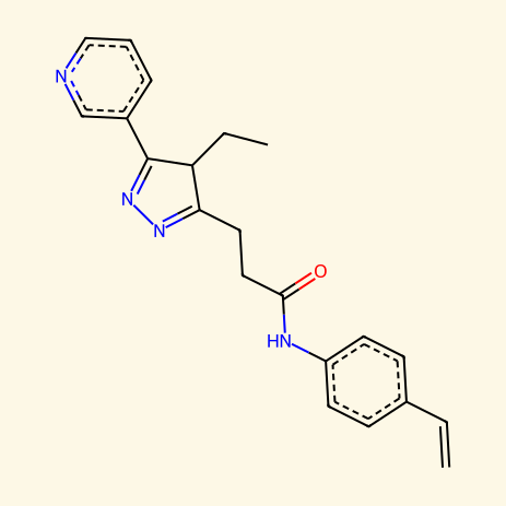 C=Cc1ccc(NC(=O)CCC2=NN=C(c3cccnc3)C2CC)cc1